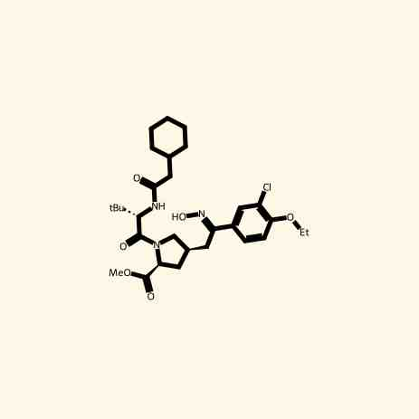 CCOc1ccc(/C(C[C@H]2C[C@@H](C(=O)OC)N(C(=O)[C@@H](NC(=O)CC3CCCCC3)C(C)(C)C)C2)=N/O)cc1Cl